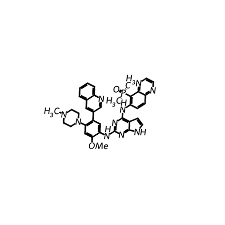 COc1cc(N2CCN(C)CC2)c(-c2cnc3ccccc3c2)cc1Nc1nc(Nc2ccc3nccnc3c2P(C)(C)=O)c2cc[nH]c2n1